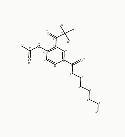 CCCCCCCC(=O)c1ccc(OC(C)=O)c(C(=O)C(C)(C)C)c1